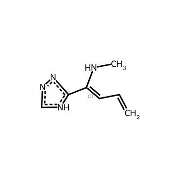 C=C/C=C(\NC)c1nnc[nH]1